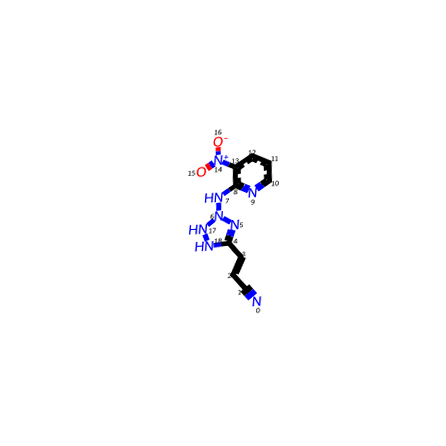 N#CC=CC1=NN(Nc2ncccc2[N+](=O)[O-])NN1